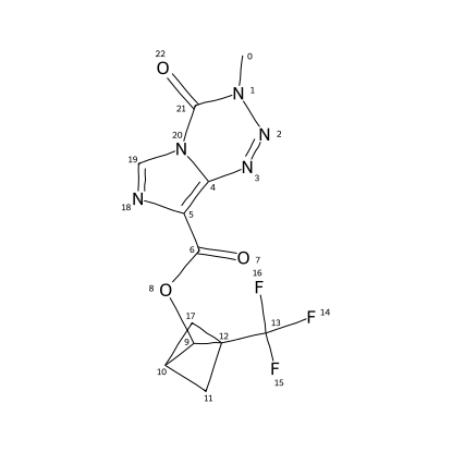 Cn1nnc2c(C(=O)OC3C4CC3(C(F)(F)F)C4)ncn2c1=O